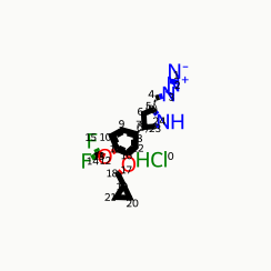 Cl.[N-]=[N+]=NC[C@H]1C[C@@H](c2ccc(OC(F)F)c(OCC3CC3)c2)CN1